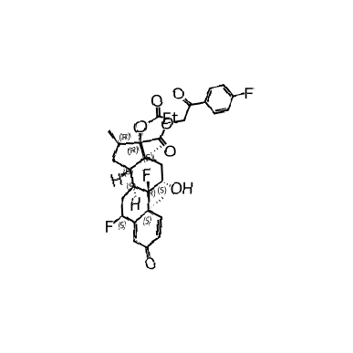 CCC(=O)O[C@]1(C(=O)OCC(=O)c2ccc(F)cc2)[C@H](C)C[C@H]2[C@@H]3C[C@H](F)C4=CC(=O)C=C[C@]4(C)[C@@]3(F)[C@@H](O)C[C@@]21C